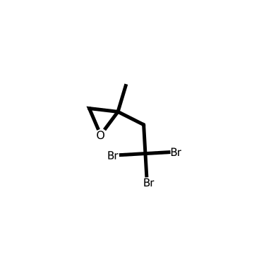 CC1(CC(Br)(Br)Br)CO1